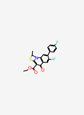 CCOC(=O)c1c2n(c3cc(-c4ccc(F)cc4)c(F)cc3c1=O)C(C)S2